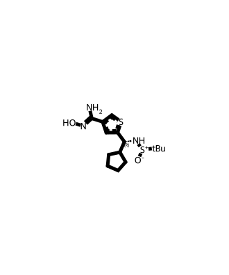 CC(C)(C)[S+]([O-])N[C@@H](c1cc(C(N)=NO)cs1)C1CCCC1